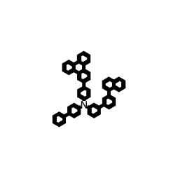 c1ccc(-c2ccc(N(c3ccc(-c4ccc5c6ccccc6c6ccccc6c5c4)cc3)c3cccc(-c4cccc(-c5cccc6ccccc56)c4)c3)cc2)cc1